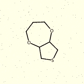 C1COC2CSCC2OC1